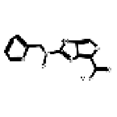 COC(=O)c1scc2[nH]c([S+]([O-])Cc3ccccn3)nc12